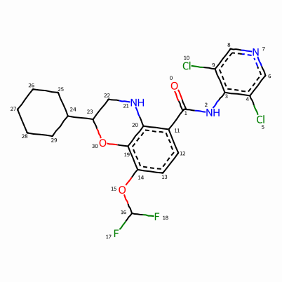 O=C(Nc1c(Cl)cncc1Cl)c1ccc(OC(F)F)c2c1NCC(C1CCCCC1)O2